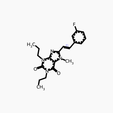 CCCn1c(=O)c2c(nc(/C=C/c3cccc(F)c3)n2C)n(CCC)c1=O